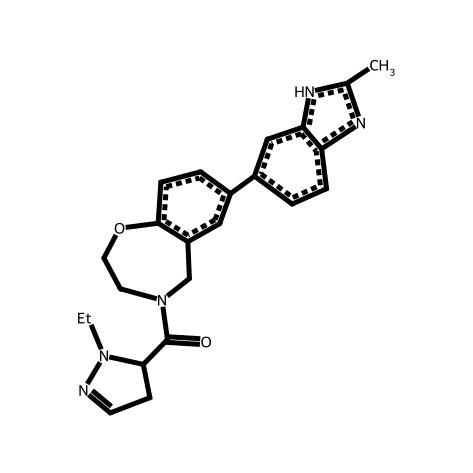 CCN1N=CCC1C(=O)N1CCOc2ccc(-c3ccc4nc(C)[nH]c4c3)cc2C1